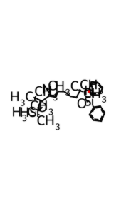 C[SiH](C)OC(c1cc(CCC(O[SiH](c2ccccc2)c2ccccc2)C(C)(C)C)on1)C(C)(C)C